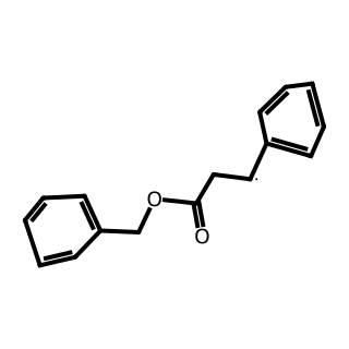 O=C(C[CH]c1ccccc1)OCc1ccccc1